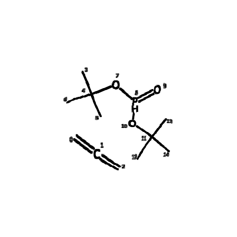 C=C=C.CC(C)(C)O[PH](=O)OC(C)(C)C